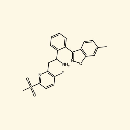 Cc1ccc2c(-c3ccccc3C(N)Cc3nc(S(C)(=O)=O)ccc3F)noc2c1